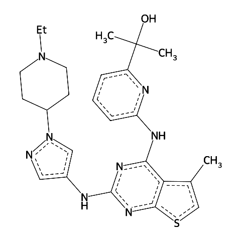 CCN1CCC(n2cc(Nc3nc(Nc4cccc(C(C)(C)O)n4)c4c(C)csc4n3)cn2)CC1